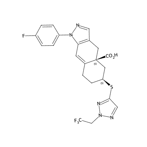 O=C(O)[C@]12Cc3cnn(-c4ccc(F)cc4)c3C=C1CC[C@H](Sc1cnn(CC(F)(F)F)n1)C2